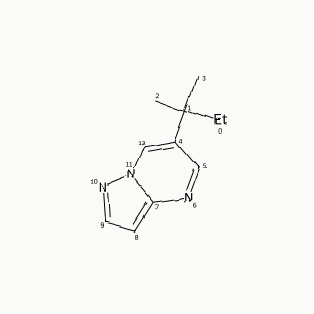 CCC(C)(C)c1cnc2ccnn2c1